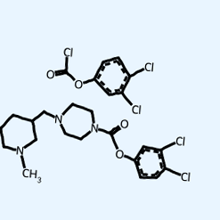 CN1CCCC(CN2CCN(C(=O)Oc3ccc(Cl)c(Cl)c3)CC2)C1.O=C(Cl)Oc1ccc(Cl)c(Cl)c1